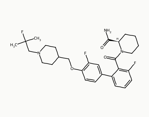 CC(C)(F)CN1CCC(COc2ccc(-c3cccc(F)c3C(=O)N3CCCC[C@@H]3C(N)=O)cc2F)CC1